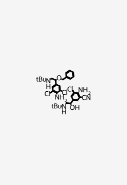 CC(C)(C)NCC(O)c1cc(Cl)c(N)c(C#N)c1.CC(C)(C)NCC(OCc1ccccc1)c1cc(Cl)c(N)c(Cl)c1